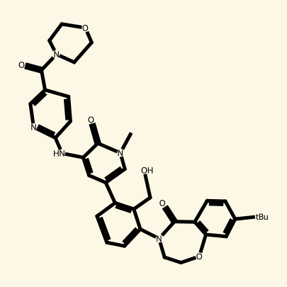 Cn1cc(-c2cccc(N3CCOc4cc(C(C)(C)C)ccc4C3=O)c2CO)cc(Nc2ccc(C(=O)N3CCOCC3)cn2)c1=O